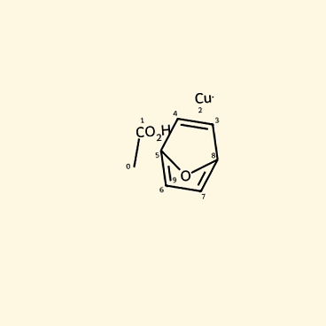 CC(=O)O.[Cu].c1cc2ccc1o2